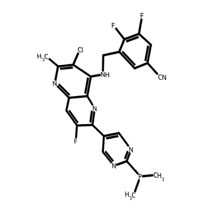 Cc1nc2cc(F)c(-c3cnc(P(C)C)nc3)nc2c(NCc2cc(C#N)cc(F)c2F)c1Cl